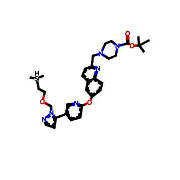 C[SiH](C)CCOCn1nccc1-c1ccc(Oc2ccc3nc(CN4CCN(C(=O)OC(C)(C)C)CC4)ccc3c2)nc1